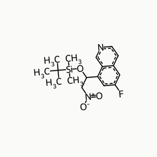 CC(C)(C)[Si](C)(C)OC(C[N+](=O)[O-])c1cc(F)cc2ccncc12